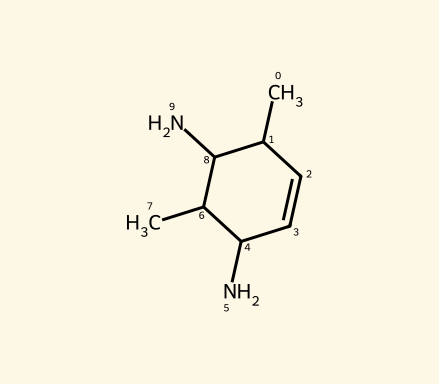 CC1C=CC(N)C(C)C1N